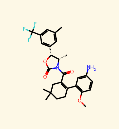 COc1ccc(N)cc1C1=C(C(=O)N2C(=O)O[C@H](c3cc(C)cc(C(F)(F)F)c3)[C@@H]2C)CC(C)(C)CC1